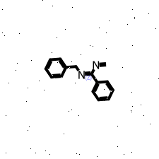 C=N/C(=N\Cc1ccccc1)c1ccccc1